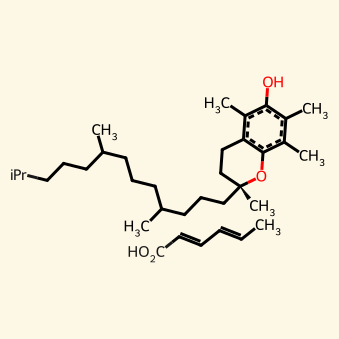 C/C=C/C=C/C(=O)O.Cc1c(C)c2c(c(C)c1O)CC[C@@](C)(CCCC(C)CCCC(C)CCCC(C)C)O2